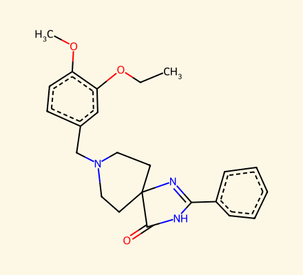 CCOc1cc(CN2CCC3(CC2)N=C(c2ccccc2)NC3=O)ccc1OC